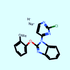 COc1ccccc1Oc1nc2ccccc2n1-c1ccnc(Cl)n1.[H-].[Na+]